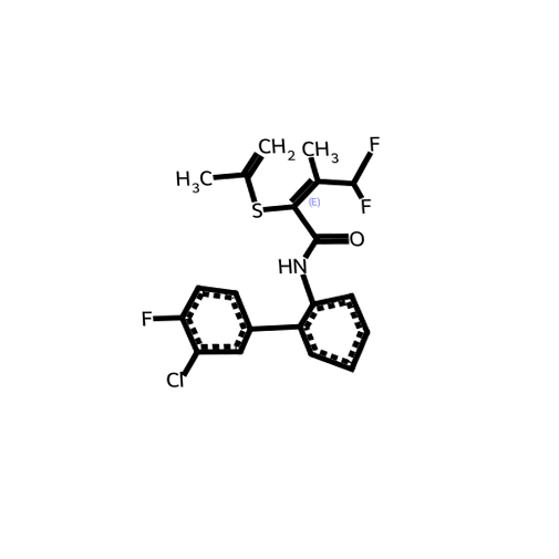 C=C(C)S/C(C(=O)Nc1ccccc1-c1ccc(F)c(Cl)c1)=C(\C)C(F)F